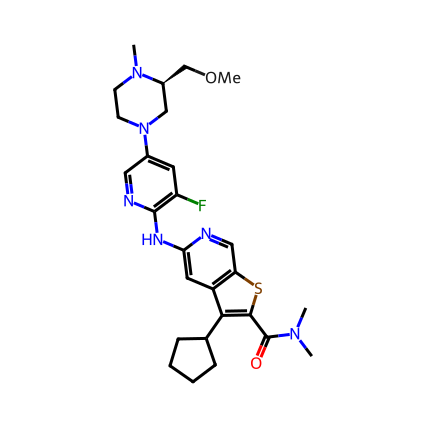 COC[C@H]1CN(c2cnc(Nc3cc4c(C5CCCC5)c(C(=O)N(C)C)sc4cn3)c(F)c2)CCN1C